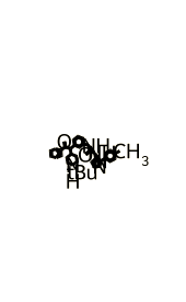 Cc1ccc(-n2nc(C(C)(C)C)cc2NC(=O)Nc2cccc(C(C(=O)C3CC4C=CC3C4)C3CCNCC3)c2)cc1